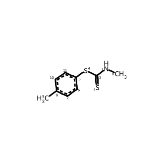 CNC(=S)Sc1ccc(C)cc1